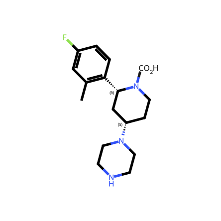 Cc1cc(F)ccc1[C@H]1C[C@@H](N2CCNCC2)CCN1C(=O)O